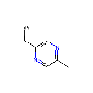 Cc1cnc(CC(C)C)cn1